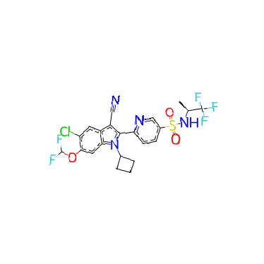 C[C@H](NS(=O)(=O)c1ccc(-c2c(C#N)c3cc(Cl)c(OC(F)F)cc3n2C2CCC2)nc1)C(F)(F)F